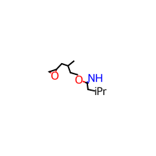 CC(C)CC(=N)OCCC(C)CC1CO1